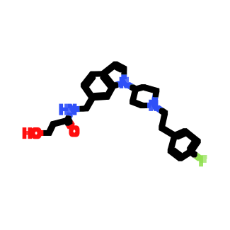 O=C(CCO)NCc1ccc2ccn(C3CCN(CCc4ccc(F)cc4)CC3)c2c1